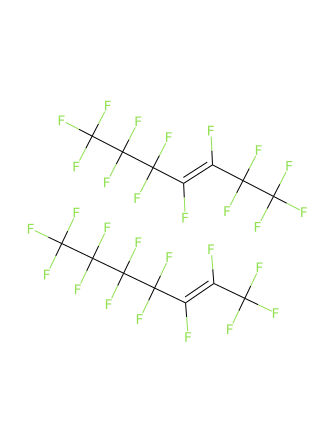 FC(=C(F)C(F)(F)C(F)(F)C(F)(F)C(F)(F)F)C(F)(F)F.FC(=C(F)C(F)(F)C(F)(F)C(F)(F)F)C(F)(F)C(F)(F)F